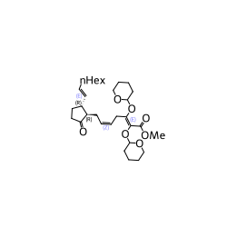 CCCCCC/C=C/[C@H]1CCC(=O)[C@@H]1C/C=C\C/C(OC1CCCCO1)=C(\OC1CCCCO1)C(=O)OC